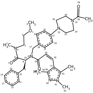 COCCN(C)C(=O)[C@H](Cc1ccccc1)N(Cc1ccc(N2CCN(C(C)=O)CC2)cc1)C(=O)C=Cc1c(C)nn(C)c1C